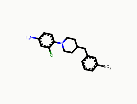 Nc1ccc(N2CCC(Cc3cccc([N+](=O)[O-])c3)CC2)c(Cl)c1